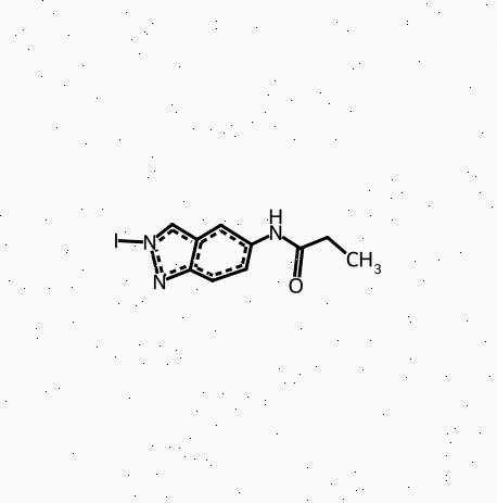 CCC(=O)Nc1ccc2nn(I)cc2c1